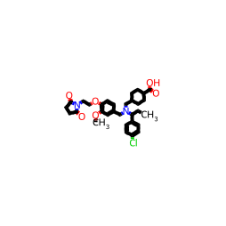 CCC(c1ccc(Cl)cc1)N(Cc1ccc(OCCN2C(=O)CCC2=O)c(OC)c1)CC1CCC(C(=O)O)CC1